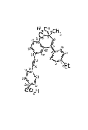 CCc1ccc(C2=CC(C)(C)Oc3ccc(C#Cc4ccc(C(=O)O)cc4)cc32)cc1